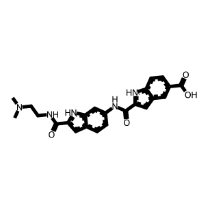 CN(C)CCNC(=O)c1cc2ccc(NC(=O)c3cc4cc(C(=O)O)ccc4[nH]3)cc2[nH]1